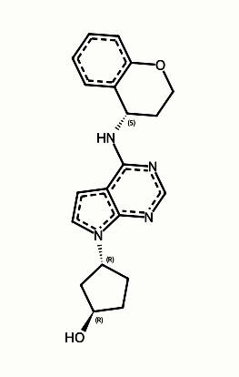 O[C@@H]1CC[C@@H](n2ccc3c(N[C@H]4CCOc5ccccc54)ncnc32)C1